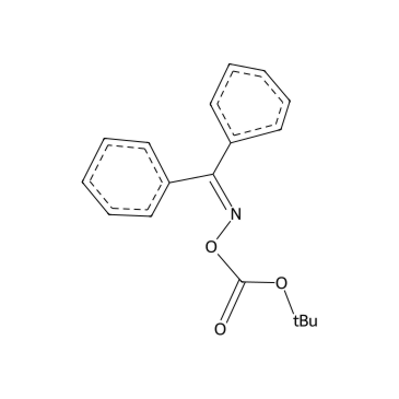 CC(C)(C)OC(=O)ON=C(c1ccccc1)c1ccccc1